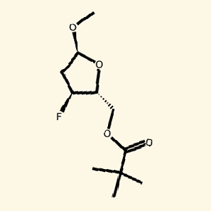 CO[C@@H]1C[C@H](F)[C@@H](COC(=O)C(C)(C)C)O1